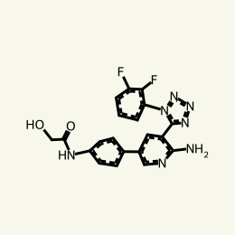 Nc1ncc(-c2ccc(NC(=O)CO)cc2)cc1-c1nnnn1-c1cccc(F)c1F